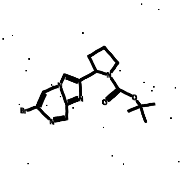 CC(C)(C)OC(=O)N1CCCC1c1cn2cc(Br)ncc2n1